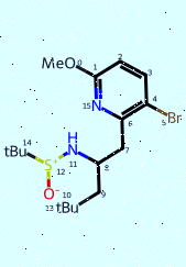 COc1ccc(Br)c(CC(CC(C)(C)C)N[S+]([O-])C(C)(C)C)n1